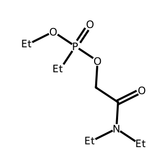 CCOP(=O)(CC)OCC(=O)N(CC)CC